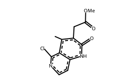 COC(=O)Cc1c(C)c2c(Cl)nccc2[nH]c1=O